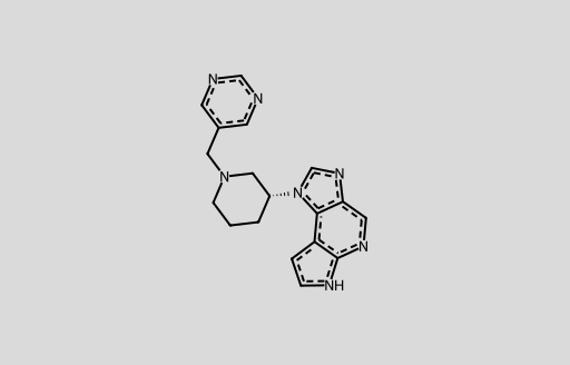 c1ncc(CN2CCC[C@@H](n3cnc4cnc5[nH]ccc5c43)C2)cn1